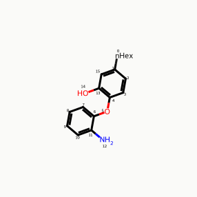 CCCCCCc1ccc(Oc2ccccc2N)c(O)c1